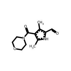 Cc1[nH]c(C=O)c(C)c1C(=O)N1CCOCC1